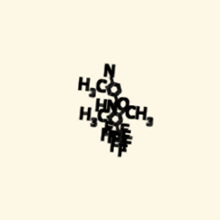 CCc1cc(C(F)(C(F)(F)F)C(F)(F)C(F)(F)F)cc(C)c1NC(=O)c1ccc(C#N)c(C)c1